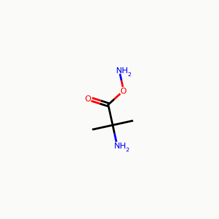 CC(C)(N)C(=O)ON